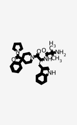 CC(C)(N)C(=O)N[C@H](Cc1c[nH]c2ccccc12)C(=O)N1CCC(C(=O)N2CCCC2)(c2ccccc2)CC1